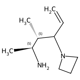 C=CC([C@@H](C)[C@H](C)N)N1CCC1